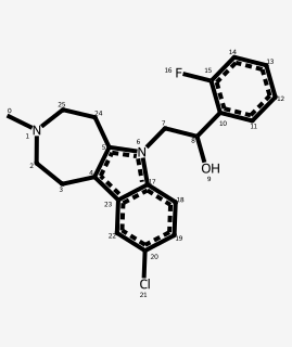 CN1CCc2c(n(CC(O)c3ccccc3F)c3ccc(Cl)cc23)CC1